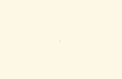 CC1=C(C)C[C@H](C(=O)OC(C)C)CC1